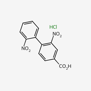 Cl.O=C(O)c1ccc(-c2ccccc2[N+](=O)[O-])c([N+](=O)[O-])c1